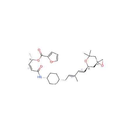 CC(/C=C/[C@@H]1C[C@]2(CO2)CC(C)(C)O1)=C\C[C@H]1CC[C@@H](NC(=O)/C=C\[C@H](C)OC(=O)c2ccco2)CC1